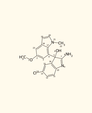 COc1cc(C2(O)C(N)=Nc3ccc(Cl)cc32)c2c(ccn2C)c1